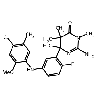 COc1cc(Cl)c(C)cc1Nc1ccc(F)c(C2(C)N=C(N)N(C)C(=O)C2(C)C)c1